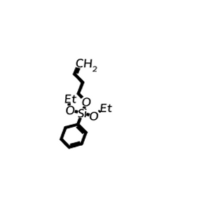 C=CCCO[Si](OCC)(OCC)C1=CC=CCC1